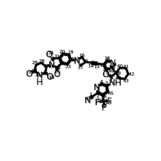 N#Cc1ncc(NC(=O)C2(n3cc(C#CC4CN(c5ccc6c(c5)C(=O)N(C5CCC(=O)NC5=O)C6=O)C4)cn3)CCCCC2)cc1C(F)(F)F